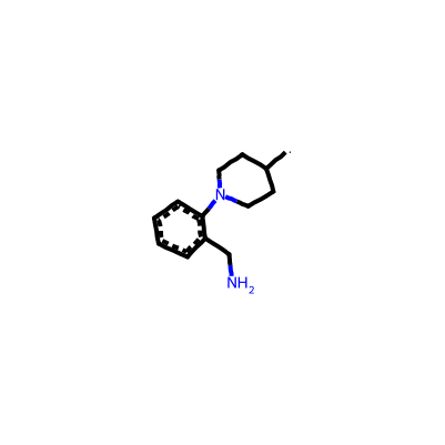 [CH2]C1CCN(c2ccccc2CN)CC1